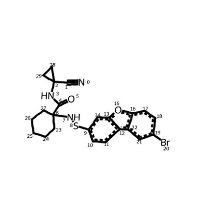 N#CC1(NC(=O)C2(NSc3ccc4c(c3)oc3ccc(Br)cc34)CCCCC2)CC1